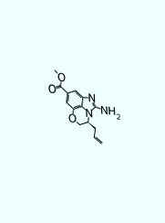 C=CC[C@H]1COc2cc(C(=O)OC)cc3nc(N)n1c23